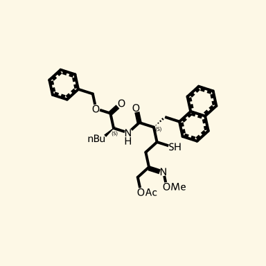 CCCC[C@H](NC(=O)[C@H](Cc1cccc2ccccc12)C(S)CC(COC(C)=O)=NOC)C(=O)OCc1ccccc1